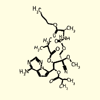 CCCCOC(=O)[C@H](C)N[PH](=O)OC[C@@](C#N)(OC)[C@@H](OC(=O)C(C)C)[C@@H](OC(=O)C(C)C)c1ccc2c(N)ncnn12